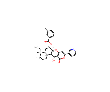 CC(=O)OCC1(C)C2C[C@H](OC(=O)c3cccc(C)c3)[C@@]3(C)Oc4cc(-c5cccnc5)oc(=O)c4[C@H](O)C3[C@@]2(C)CC[C@@H]1C